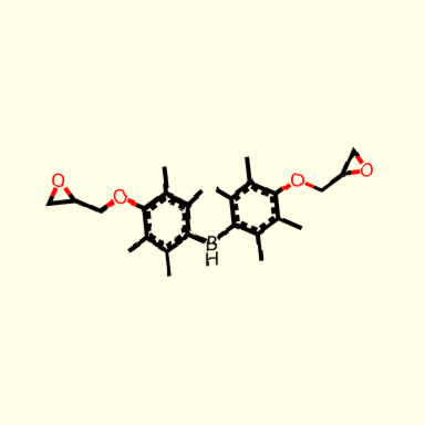 Cc1c(C)c(OCC2CO2)c(C)c(C)c1Bc1c(C)c(C)c(OCC2CO2)c(C)c1C